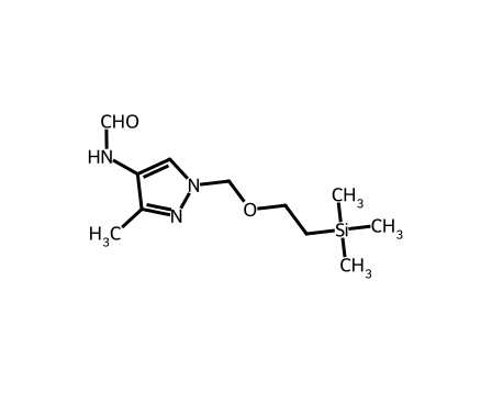 Cc1nn(COCC[Si](C)(C)C)cc1NC=O